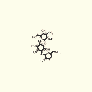 NCC1CCC(N)[C@@H](OC2C(O)[C@@H](O[C@H]3OC(CO)[C@H](O)C(N)[C@@H]3O)C(N)[C@H](O)[C@@H]2N)O1